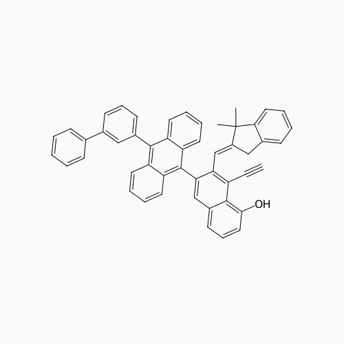 C#Cc1c(/C=C2\Cc3ccccc3C2(C)C)c(-c2c3ccccc3c(-c3cccc(-c4ccccc4)c3)c3ccccc23)cc2cccc(O)c12